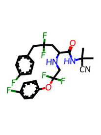 CC(C)(C#N)NC(=O)C(CC(F)(F)Cc1ccc(F)cc1)NCC(F)(F)Oc1ccc(F)cc1